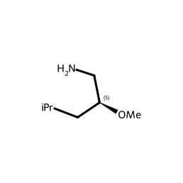 CO[C@H](CN)CC(C)C